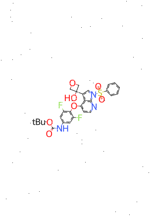 CC(C)(C)OC(=O)Nc1cc(F)c(Oc2ccnc3c2c(C2(O)COC2)cn3S(=O)(=O)c2ccccc2)c(F)c1